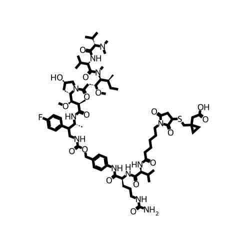 CC[C@H](C)[C@@H]([C@@H](CC(=O)N1C[C@@H](O)C[C@H]1[C@H](OC)[C@@H](C)C(=O)N[C@H](C)C(CNC(=O)OCc1ccc(NC(=O)[C@H](CCCNC(N)=O)NC(=O)[C@@H](NC(=O)CCCCCN2C(=O)CC(SCC3(CC(=O)O)CC3)C2=O)C(C)C)cc1)c1ccc(F)cc1)OC)N(C)C(=O)[C@@H](NC(=O)[C@H](C(C)C)N(C)C)C(C)C